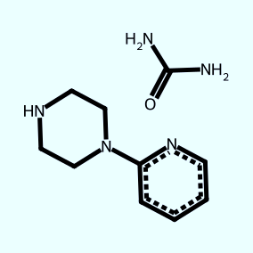 NC(N)=O.c1ccc(N2CCNCC2)nc1